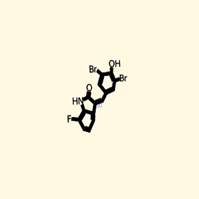 O=C1Nc2c(F)cccc2/C1=C/c1cc(Br)c(O)c(Br)c1